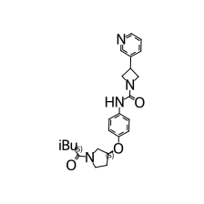 CC[C@H](C)C(=O)N1CC[C@H](Oc2ccc(NC(=O)N3CC(c4cccnc4)C3)cc2)C1